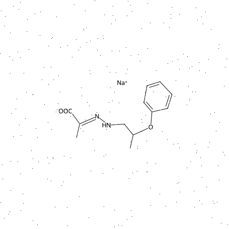 CC(=NNCC(C)Oc1ccccc1)C(=O)[O-].[Na+]